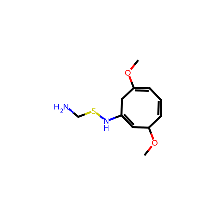 CO/C1=C/C=C\C(OC)C=C(NSCN)C1